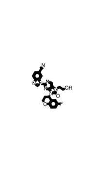 N#Cc1ccc2ncn(-c3ncc4c(n3)n([C@@H]3CCOc5ccc(F)cc53)c(=O)n4CCO)c2c1